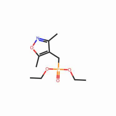 CCOP(=O)(Cc1c(C)noc1C)OCC